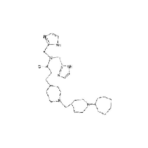 O=C(CCC1CCN(CC2CCN(C3CCCCCC3)CC2)CC1)N(Cc1ncc[nH]1)Cc1ncc[nH]1